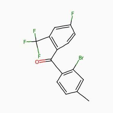 Cc1ccc(C(=O)c2ccc(F)cc2C(F)(F)F)c(Br)c1